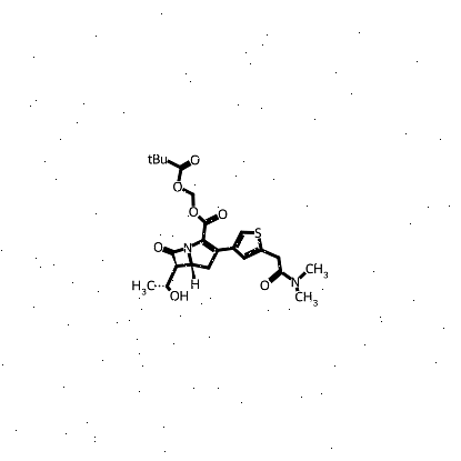 C[C@@H](O)[C@H]1C(=O)N2C(C(=O)OCOC(=O)C(C)(C)C)=C(c3csc(CC(=O)N(C)C)c3)C[C@H]12